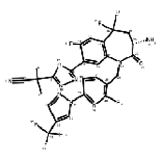 CC(C)(C#N)c1nnc(-c2cc3c(cc2F)C(F)(F)C[C@H](N)C(=O)N3Cc2ccc(-n3cc(C(F)(F)F)cn3)nc2F)o1